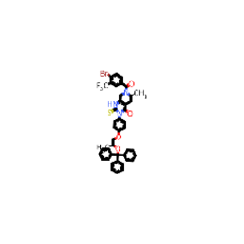 C[C@@H]1Cc2c([nH]c(=S)n(-c3ccc(OC[C@H](C)OC(c4ccccc4)(c4ccccc4)c4ccccc4)cc3)c2=O)CN1C(=O)c1ccc(Br)c(C(F)(F)F)c1